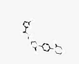 O=C(NC[C@H]1CN(c2ccc(N3CCOCC3=O)cc2)C(=O)O1)c1ccc(Br)o1